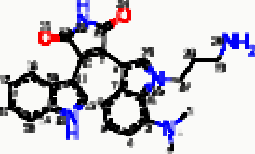 CN(C)c1cccc2c(C3=C(c4c[nH]c5ccccc45)C(=O)NC3=O)cn(CCCN)c12